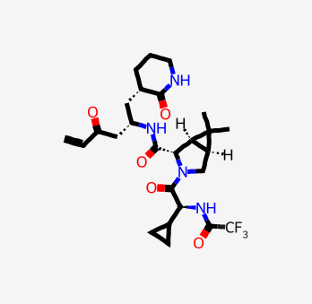 C=CC(=O)C[C@H](C[C@@H]1CCCNC1=O)NC(=O)[C@@H]1[C@@H]2[C@H](CN1C(=O)[C@@H](NC(=O)C(F)(F)F)C1CC1)C2(C)C